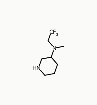 CN(CC(F)(F)F)C1CCCNC1